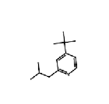 CC(C)Cc1cc(C(C)(C)C)ccn1